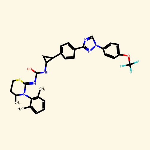 Cc1cccc(C)c1N1/C(=N/C(O)NC2CC2c2ccc(-c3ncn(-c4ccc(OC(F)(F)F)cc4)n3)cc2)SCCC1C